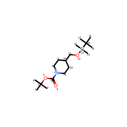 CC(C)(C)OC(=O)N1CCC(CO[Si](C)(C)C(C)(C)C)CC1